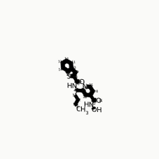 CCCC[C@H](NC(=O)c1cc2ccccc2s1)c1cc(C(=O)NO)ccn1